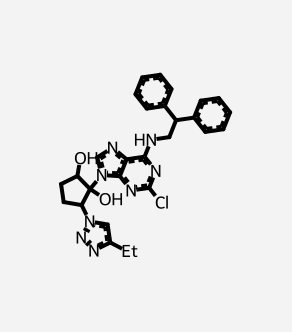 CCc1cn(C2CCC(O)C2(O)n2cnc3c(NCC(c4ccccc4)c4ccccc4)nc(Cl)nc32)nn1